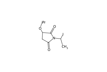 CC(C)OC1CC(=O)N(C(C)I)C1=O